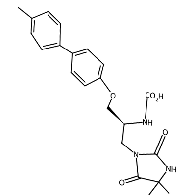 Cc1ccc(-c2ccc(OC[C@H](CN3C(=O)NC(C)(C)C3=O)NC(=O)O)cc2)cc1